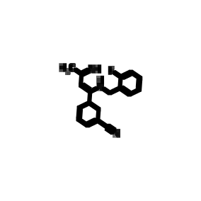 CC(=N)/C=C(\NCc1ccccc1F)C1C=CC=C(C#N)C1